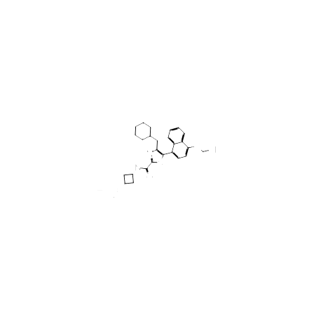 O=C(N[C@H]1C[C@H](C(=O)O)C1)c1nc(CC2CCCCC2)c(-c2ccc(OCC(F)(F)F)c3ccccc23)s1